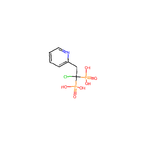 O=P(O)(O)C(Cl)(Cc1ccccn1)P(=O)(O)O